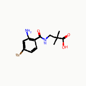 CC(C)(CNC(=O)c1ccc(Br)cc1N)C(=O)O